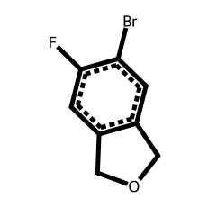 Fc1cc2c(cc1Br)COC2